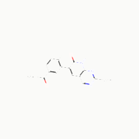 COC(=O)c1ccc(Cl)c(-c2cc3cnc(SC)nc3n(C)c2=O)c1